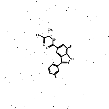 C[C@H](NC(=O)c1cc(F)c2[nH]nc(-c3cccc(F)c3)c2c1)C(N)=O